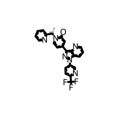 C[C@@H](c1ccccn1)n1ccc(-c2nn(-c3ccc(C(F)(F)F)nc3)c3cccnc23)cc1=O